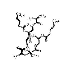 C=C(C)C(=O)OCC(NCOC(=O)C(=C)CC(C)(C)C(=O)OCC(C)OC(=O)CCCC(=O)O)OC(=O)CCCC(=O)O